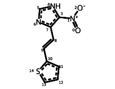 O=[N+]([O-])c1[nH]cnc1C=Cc1cccs1